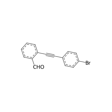 O=Cc1ccccc1C#Cc1ccc(Br)cc1